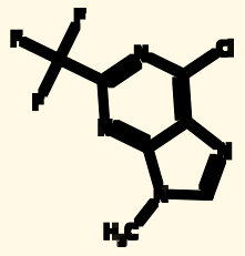 Cn1cnc2c(Cl)nc(C(F)(F)F)nc21